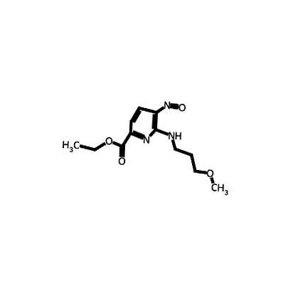 CCOC(=O)c1ccc(N=O)c(NCCCOC)n1